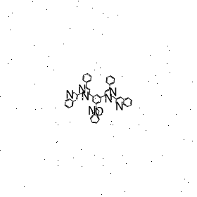 c1ccc(-c2cc(-c3cc(-c4cc(-c5ccccc5)nc(-c5cnc6ccccc6c5)n4)cc(-c4nc5ccccc5o4)c3)nc(-c3cnc4ccccc4c3)n2)cc1